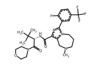 CN1CCCn2c(-c3cc(C(F)(F)F)ccc3F)nc(C(=O)N[C@H](C(=O)N3CCOCC3)C(C)(C)C)c2C1